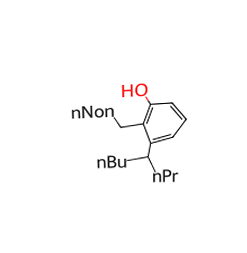 CCCCCCCCCCc1c(O)cccc1C(CCC)CCCC